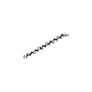 CCOCCOCCOOCCOCCOCCOCCO